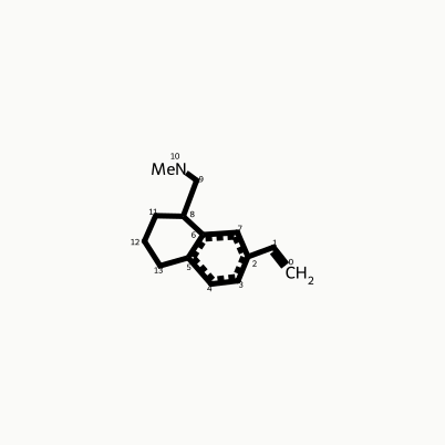 C=Cc1ccc2c(c1)C(CNC)CCC2